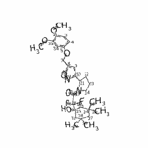 COc1ccc(OCc2cc(C3CCCN3C(=O)C(F)(F)C3(O)CC(C)(C)CC(C)(C)C3)no2)cc1OC